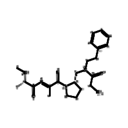 CN[C@@H](C)C(=O)/N=C(\C)C(=O)N1CCC[C@H]1CN(CCc1ccccc1)C(=O)CN